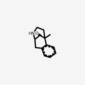 CC12CCNC(Cc3ccccc31)C2=O